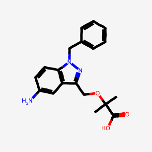 CC(C)(OCc1nn(Cc2ccccc2)c2ccc(N)cc12)C(=O)O